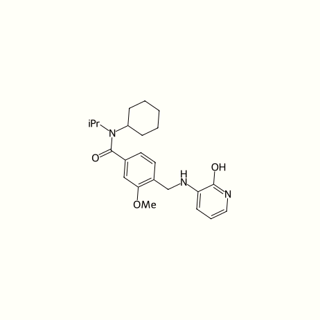 COc1cc(C(=O)N(C(C)C)C2CCCCC2)ccc1CNc1cccnc1O